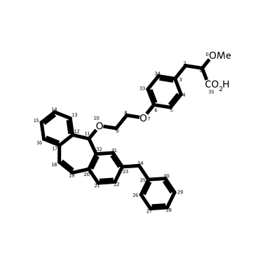 COC(Cc1ccc(OCCOC2c3ccccc3C=Cc3ccc(Cc4ccccc4)cc32)cc1)C(=O)O